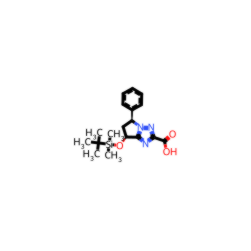 CC(C)(C)[Si](C)(C)O[C@H]1C[C@@H](c2ccccc2)n2nc(C(=O)O)nc21